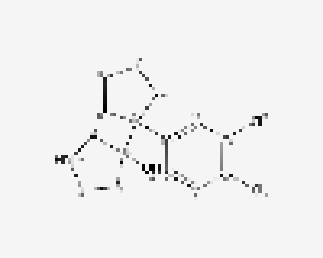 OC1(C2(c3ccc(Cl)c(Cl)c3)CCCC2)CCNC1